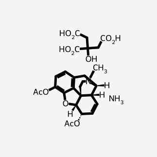 CC(=O)Oc1ccc2c3c1O[C@H]1[C@@H](OC(C)=O)C=C[C@H]4[C@@H](C2)N(C)CC[C@@]341.N.O=C(O)CC(O)(CC(=O)O)C(=O)O